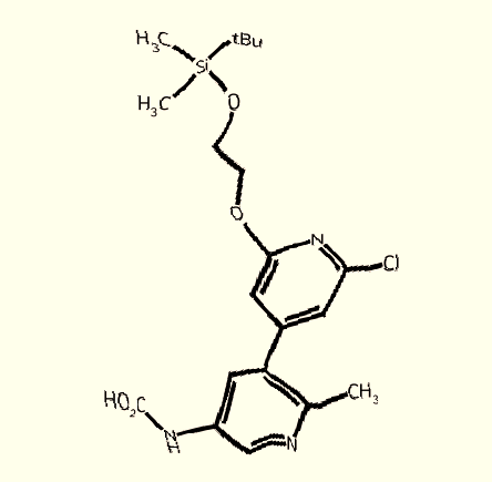 Cc1ncc(NC(=O)O)cc1-c1cc(Cl)nc(OCCO[Si](C)(C)C(C)(C)C)c1